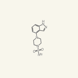 CCCS(=O)(=O)N1CCN(c2cccc3[nH]ncc23)CC1